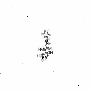 O=[PH](O)C(F)(F)C[C@@H](O)[C@@H](O)[C@@H](O)CNOCc1ccccc1